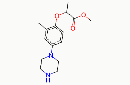 COC(=O)C(C)Oc1ccc(N2CCNCC2)cc1C